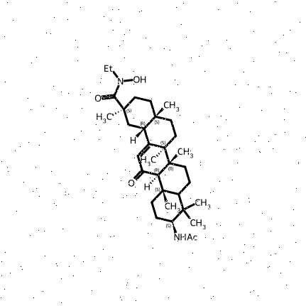 CCN(O)C(=O)[C@@]1(C)CC[C@]2(C)CC[C@]3(C)C(=CC(=O)[C@@H]4[C@@]5(C)CC[C@H](NC(C)=O)C(C)(C)C5CC[C@]43C)[C@@H]2C1